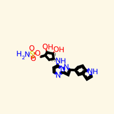 NS(=O)(=O)OCC1C[C@@H](Nc2ccnc3cc(-c4ccc5[nH]ccc5c4)nn23)[C@H](O)[C@@H]1O